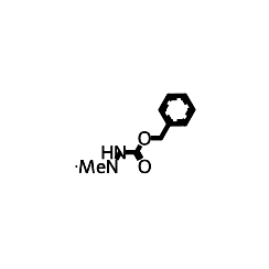 C[N]NC(=O)OCc1ccccc1